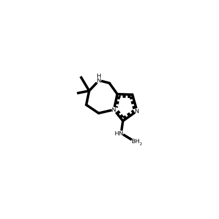 BNc1ncc2n1CCC(C)(C)NC2